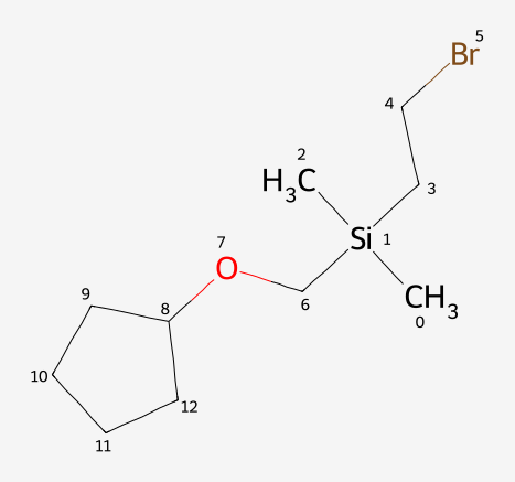 C[Si](C)(CCBr)COC1CCCC1